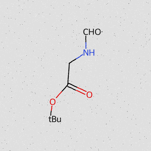 CC(C)(C)OC(=O)CN[C]=O